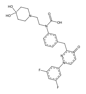 O=C(O)N(CCN1CCS(O)(O)CC1)c1cccc(Cc2nn(-c3cc(F)cc(F)c3)ccc2=O)c1